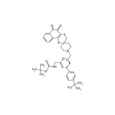 CC(C)(C)OC(=O)NCC(=O)O[C@H](COc1ccc(C(C)(C)C)cc1)CN1CCC2(CC1)CSC1=C(O2)c2ccccc2C(=O)C1=O